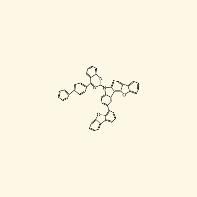 c1ccc(-c2ccc(-c3nc(-n4c5ccc(-c6cccc7c6oc6ccccc67)cc5c5c6oc7ccccc7c6ccc54)nc4ccccc34)cc2)cc1